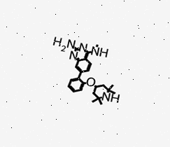 CNc1nc(N)nc2cc(-c3ccccc3OC3CC(C)(C)NC(C)(C)C3)ccc12